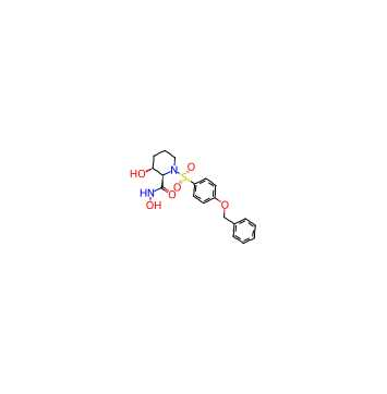 O=C(NO)[C@H]1[C@@H](O)CCCN1S(=O)(=O)c1ccc(OCc2ccccc2)cc1